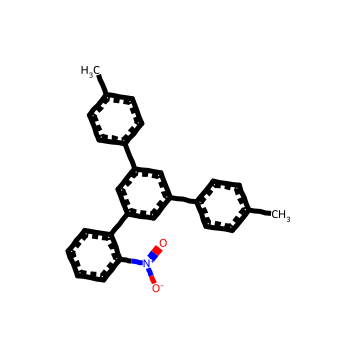 Cc1ccc(-c2cc(-c3ccc(C)cc3)cc(-c3ccccc3[N+](=O)[O-])c2)cc1